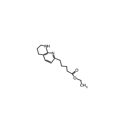 CCOC(=O)CCCCc1ccc2c(n1)NCCC2